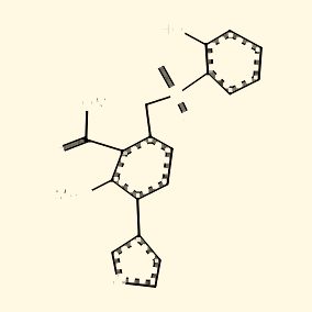 COC(=O)c1c(CS(=O)(=O)c2ccccc2O)ccc(-c2ccoc2)c1OC